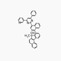 CC1(C)c2ccc3ccccc3c2-c2cccc(-c3ccc(-c4nc(-c5ccccc5)cc(-c5cccnc5)n4)c4ccccc34)c21